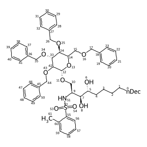 CCCCCCCCCCCCCC[C@@H](O)[C@@H](O)[C@H](CO[C@H]1OC(COCc2ccccc2)[C@H](OCc2ccccc2)[C@@H](OCc2ccccc2)C1OCc1ccccc1)NS(=O)(=O)c1ccccc1C